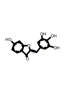 O=C1/C(=C/c2cc(O)c(O)c(O)c2)Oc2cc(O)ccc21